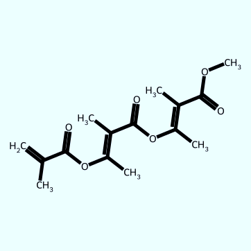 C=C(C)C(=O)OC(C)=C(C)C(=O)OC(C)=C(C)C(=O)OC